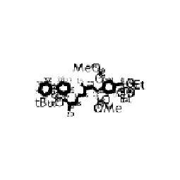 CCOP(=O)(Cc1cc(OCOC)c(CC=C(C)CCC=C(C)CO[Si](c2ccccc2)(c2ccccc2)C(C)(C)C)c(OCOC)c1)OCC